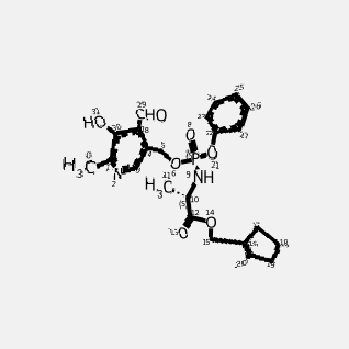 Cc1ncc(CO[P@@](=O)(N[C@@H](C)C(=O)OCC2CCCC2)Oc2ccccc2)c(C=O)c1O